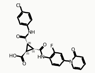 O=C(O)[C@@H]1[C@@H](C(=O)Nc2ccc(-n3ccccc3=O)cc2F)[C@H]1C(=O)Nc1ccc(Cl)cc1